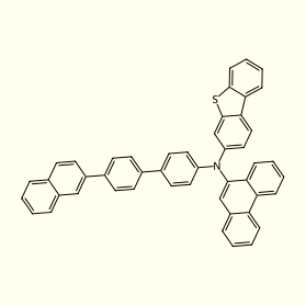 c1ccc2cc(-c3ccc(-c4ccc(N(c5ccc6c(c5)sc5ccccc56)c5cc6ccccc6c6ccccc56)cc4)cc3)ccc2c1